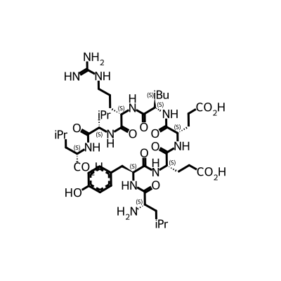 CC[C@H](C)[C@H](NC(=O)[C@H](CCC(=O)O)NC(=O)[C@H](CCC(=O)O)NC(=O)[C@H](Cc1ccc(O)cc1)NC(=O)[C@@H](N)CC(C)C)C(=O)N[C@@H](CCCNC(=N)N)C(=O)N[C@H](C(=O)N[C@@H](CC(C)C)C(=O)O)C(C)C